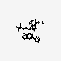 CC(C)NCCCn1c(Sc2cc3c(cc2-c2ccco2)CCO3)nc2c(N)ncnc21